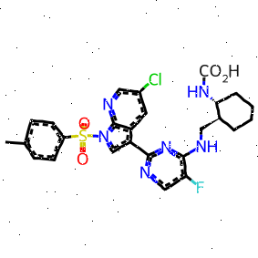 Cc1ccc(S(=O)(=O)n2cc(-c3ncc(F)c(NC[C@@H]4CCCC[C@H]4NC(=O)O)n3)c3cc(Cl)cnc32)cc1